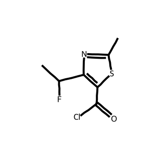 Cc1nc(C(C)F)c(C(=O)Cl)s1